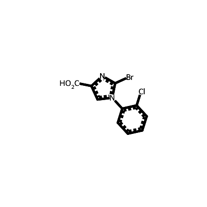 O=C(O)c1cn(-c2ccccc2Cl)c(Br)n1